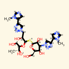 C[C@@H](O)C(CO)OC(S[C@@H]1O[C@H](CO)C(O)C(n2cc(-c3cncn3C)nn2)C1O)[C@@H](O)Cn1cc(-c2cncn2C)nn1